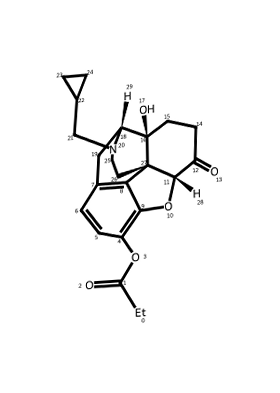 CCC(=O)Oc1ccc2c3c1O[C@H]1C(=O)CC[C@@]4(O)[C@@H](C2)N(CC2CC2)CC[C@]314